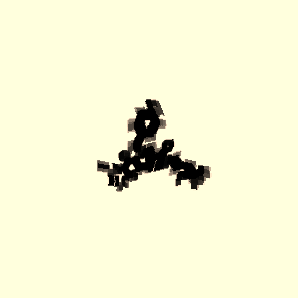 C[C@H]1SC2=CC(C(=O)NCCCC(F)(F)F)=CN(Cc3ccc(Cl)cc3)C2C(=O)[C@H]1N